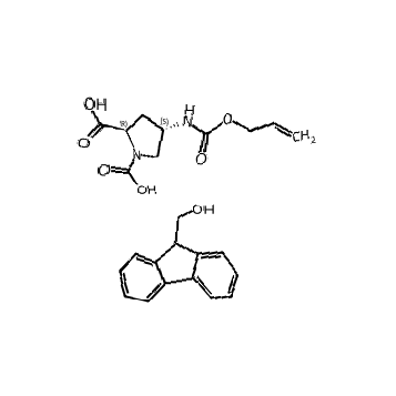 C=CCOC(=O)N[C@H]1C[C@H](C(=O)O)N(C(=O)O)C1.OCC1c2ccccc2-c2ccccc21